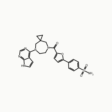 NS(=O)(=O)c1ccc(-c2ccc(C(=O)N3CCN(c4ncnc5[nH]ccc45)CC4(CC4)C3)o2)cc1